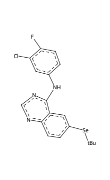 CC(C)(C)[Se]c1ccc2ncnc(Nc3ccc(F)c(Cl)c3)c2c1